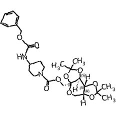 CC1(C)O[C@@H]2[C@@H](CO[C@@]3(COC(=O)N4CCC(NC(=O)OCc5ccccc5)CC4)OC(C)(C)O[C@@H]23)O1